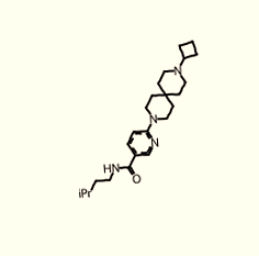 CC(C)CCNC(=O)c1ccc(N2CCC3(CC2)CCN(C2CCC2)CC3)nc1